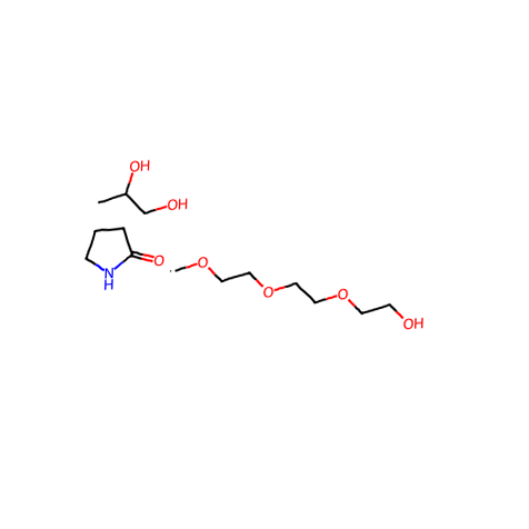 CC(O)CO.O=C1CCCN1.[CH2]OCCOCCOCCO